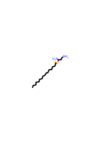 CCCCCCCCCCCCCCCC(=S)OC(N)CCN